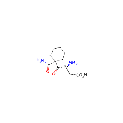 NC(=O)C1(C(=O)[C@@H](N)CC(=O)O)[CH]CCCC1